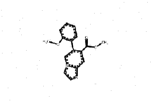 COC(=O)c1cc2nccn2cc1-c1ccccc1OC